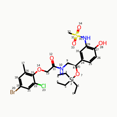 CC[Si](CC)(CC)O[C@@H](CNC(=O)COc1c(C)cc(Br)cc1Cl)c1ccc(O)c(NS(C)(=O)=O)c1